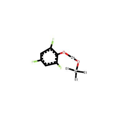 CC[Si](CC)(CC)[O][Zn][O]c1c(F)cc(F)cc1F